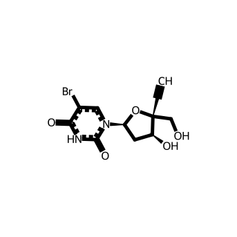 C#C[C@]1(CO)O[C@H](n2cc(Br)c(=O)[nH]c2=O)C[C@@H]1O